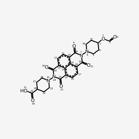 O=COC1CCN(N2C(=O)c3ccc4c5c(ccc(c35)C2=O)C(=O)N(N2CCC(C(=O)O)CC2)C4=O)CC1